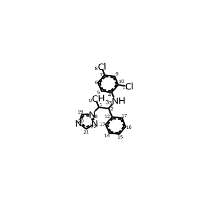 CC(C(Nc1ccc(Cl)cc1Cl)c1ccccc1)n1cncn1